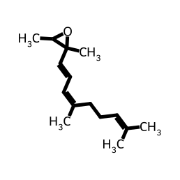 CC(C)=CCCC(C)=CC=CC1(C)OC1C